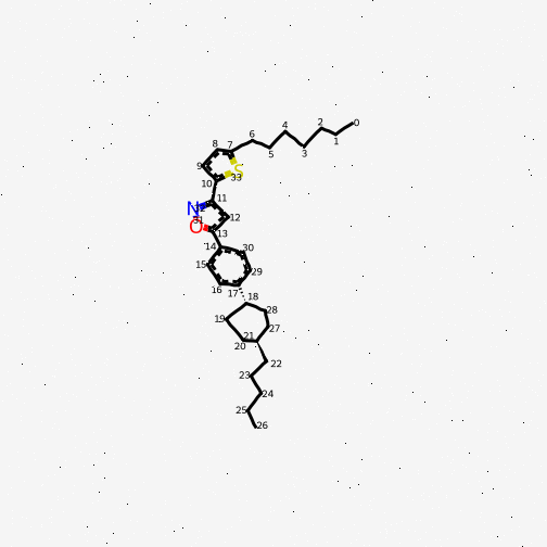 CCCCCCCc1ccc(-c2cc(-c3ccc([C@H]4CC[C@H](CCCCC)CC4)cc3)on2)s1